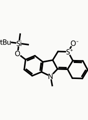 CN1C2=C3CC=CC=C3[S+]([O-])CC2c2cc(O[Si](C)(C)C(C)(C)C)ccc21